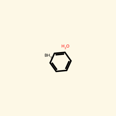 B.O.c1ccccc1